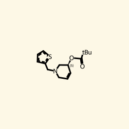 CC(C)(C)C(=O)O[C@H]1C=CCN(Cc2cccs2)C1